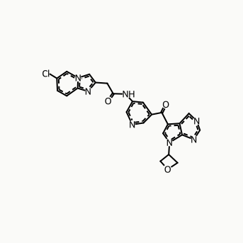 O=C(Cc1cn2cc(Cl)ccc2n1)Nc1cncc(C(=O)c2cn(C3COC3)c3ncncc23)c1